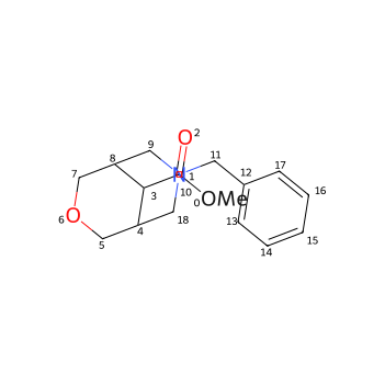 COC(=O)C1C2COCC1CN(Cc1ccccc1)C2